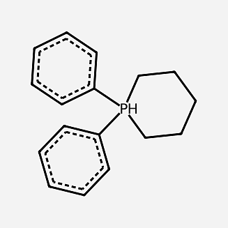 c1ccc([PH]2(c3ccccc3)CCCCC2)cc1